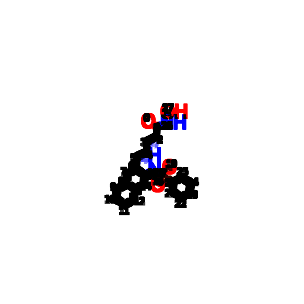 O=C(/C=C/C=C/c1cc2ccccc2cc1NS(=O)(=O)c1ccccc1)NO